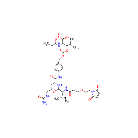 CCC(=O)NC(C(=O)O)C(OC(=O)OCc1ccc(NC(=O)C(CCCNC(N)=O)NC(=O)C(NC(=O)CCOCCN2C(=O)C=CC2=O)C(C)C)cc1)C(C)C